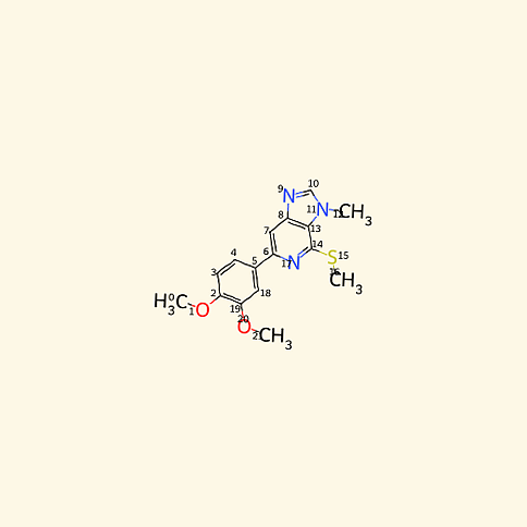 COc1ccc(-c2cc3ncn(C)c3c(SC)n2)cc1OC